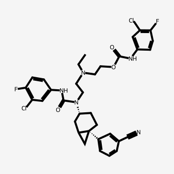 CCN(CCOC(=O)Nc1ccc(F)c(Cl)c1)CCN(C(=O)Nc1ccc(F)c(Cl)c1)[C@@H]1CC[C@@]2(c3cccc(C#N)c3)CC2C1